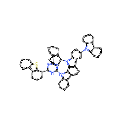 c1ccc(-c2nc(-c3cccc4c3sc3ccccc34)nc(-n3c4ccccc4c4ccc5c6cc(-n7c8ccccc8c8ccccc87)ccc6n(-c6ccccc6)c5c43)n2)cc1